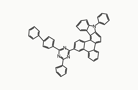 c1ccc(-c2ccc(-c3nc(-c4ccccc4)nc(-c4ccc5c(c4)c4ccccc4c4ccc6c(c7ccccc7n6-c6ccccc6)c45)n3)cc2)cc1